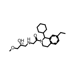 CCc1ccc2c(c1)C(C1CCCCC1)N(C(=O)CNC[C@H](O)COC)CC2